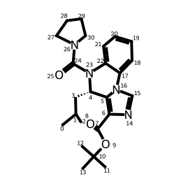 CC(C)C[C@H]1c2c(C(=O)OC(C)(C)C)ncn2-c2ccccc2N1C(=O)N1CCCC1